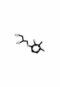 Cc1c(F)ccc(OCC(O)CN)c1Cl